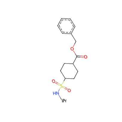 CC(C)NS(=O)(=O)C1CCC(C(=O)OCc2ccccc2)CC1